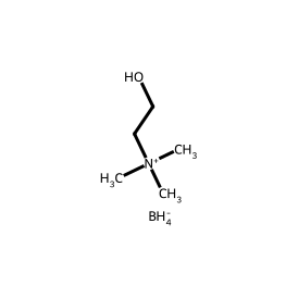 C[N+](C)(C)CCO.[BH4-]